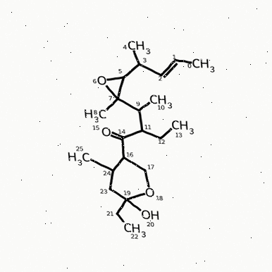 CC=CC(C)C1OC1(C)C(C)C(CC)C(=O)C1COC(O)(CC)CC1C